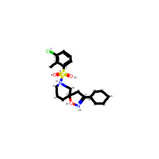 Cc1c(Cl)cccc1S(=O)(=O)N1CCCC2(CC(C3CCCCC3)=NO2)C1